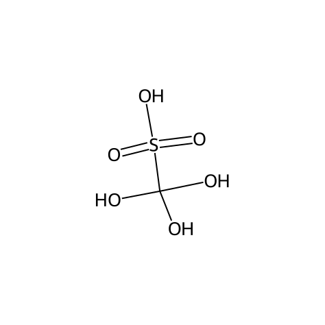 O=S(=O)(O)C(O)(O)O